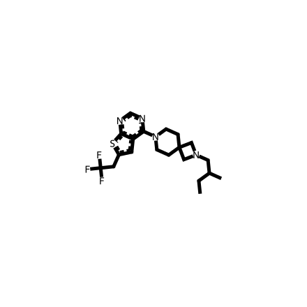 CCC(C)CN1CC2(CCN(c3ncnc4sc(CC(F)(F)F)cc34)CC2)C1